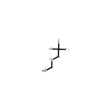 FC(F)(F)COCS